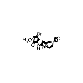 Cn1cc(Br)cc(Nc2cc3n(n2)CCN(C2COC2)C3)c1=O